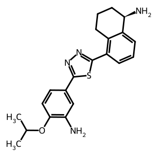 CC(C)Oc1ccc(-c2nnc(-c3cccc4c3CCC[C@H]4N)s2)cc1N